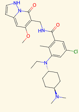 CCN(c1cc(Cl)cc(C(=O)NCc2c(OC)cc3cc[nH]n3c2=O)c1C)[C@H]1CC[C@H](N(C)C)CC1